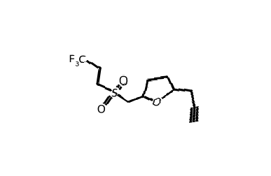 C#CCC1CCC(CS(=O)(=O)CCC(F)(F)F)O1